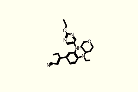 CCOc1ncc(Nc2cc(/C(=C/C#N)CC)ccc2N(CC)C2CCOCC2)cn1